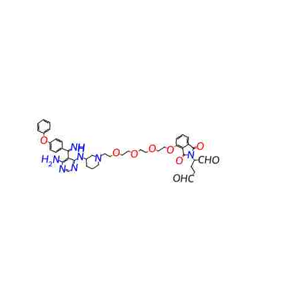 N=C(c1ccc(Oc2ccccc2)cc1)c1c(N)ncnc1NC1CCCN(CCOCCOCCOCCOc2cccc3c2C(=O)N(C(C=O)CCC=O)C3=O)C1